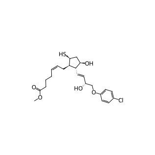 COC(=O)CCC/C=C\C[C@@H]1[C@@H](/C=C/[C@@H](O)COc2ccc(Cl)cc2)[C@H](O)C[C@@H]1S